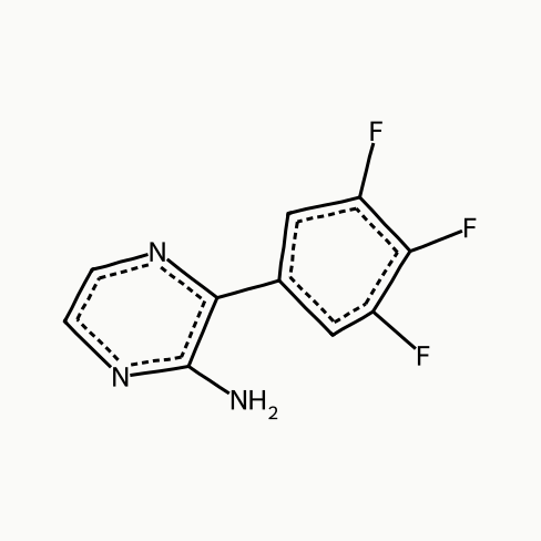 Nc1nccnc1-c1cc(F)c(F)c(F)c1